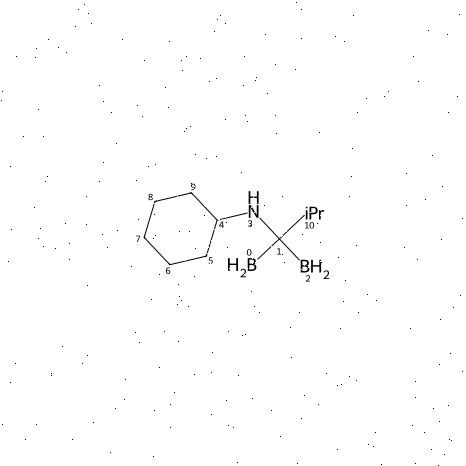 BC(B)(NC1CCCCC1)C(C)C